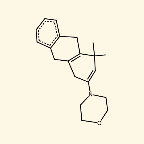 CC1(C)C=C(N2CCOCC2)CC2=C1Cc1ccccc1C2